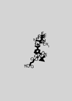 Cn1nc(C(F)(F)C(F)(F)F)c(C(F)(F)F)c1-n1cc(-c2ccc(Cl)c(C(=O)N(COC(=O)CCC(=O)O)C3(C#N)CC3)c2)cn1